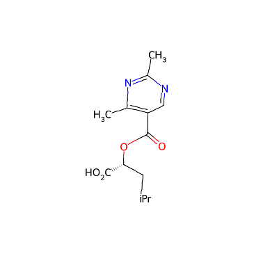 Cc1ncc(C(=O)O[C@H](CC(C)C)C(=O)O)c(C)n1